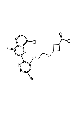 O=c1cc(-c2ncc(Br)cc2OCCO[C@H]2C[C@H](C(=O)O)C2)oc2c(Cl)cccc12